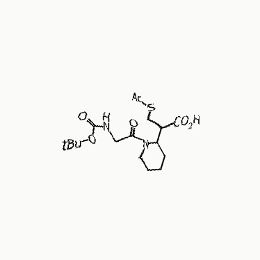 CC(=O)SCC(C(=O)O)C1CCCCN1C(=O)CNC(=O)OC(C)(C)C